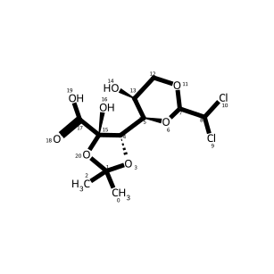 CC1(C)O[C@@H]([C@@H]2OC(C(Cl)Cl)OC[C@@H]2O)[C@@](O)(C(=O)O)O1